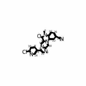 CN(C(=O)c1cn2c(-c3ccc(Cl)nc3)cnc2cn1)c1ccc(C#N)cc1